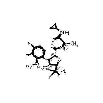 COc1c([C@H]2[C@H](C(=O)N[C@H](C)C(=O)NC3CC3)O[C@@](C)(C(F)(F)F)[C@H]2C)ccc(F)c1F